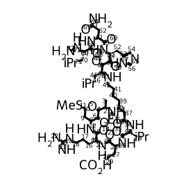 CCNC(C)C(=O)C(=O)C(CCSC)NC(=O)[C@H](CCCNC(=N)N)NC(=O)C(CCC(=O)O)NC(=O)[C@@H](NC(=O)CCCCCCN[C@@H](CC(C)C)C(=O)C(=O)[C@H](Cc1cnc[nH]1)NC(=O)C(CC(N)=O)NC(=O)[C@H](CC(C)C)NN)C(C)C